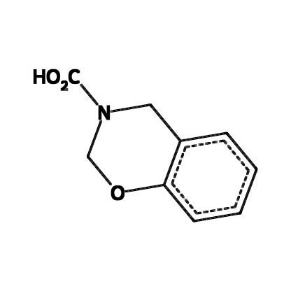 O=C(O)N1COc2ccccc2C1